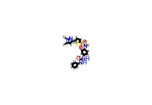 Cc1cc(-c2ccc(S(=O)(=O)N(C)c3ccc(NC(=O)Nc4ccccc4)cc3)s2)nn1C